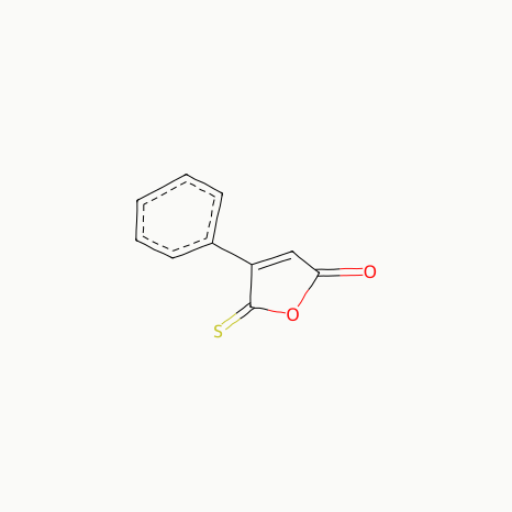 O=C1C=C(c2ccccc2)C(=S)O1